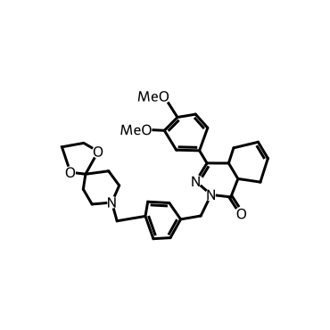 COc1ccc(C2=NN(Cc3ccc(CN4CCC5(CC4)OCCO5)cc3)C(=O)C3CC=CCC23)cc1OC